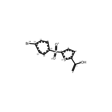 C=C(O)c1ccc(S(=O)(=O)c2ccc(Br)cc2)s1